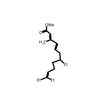 CCC(=CCCC(CC)C/C=C/C(C)=C/C(=O)OC)CC